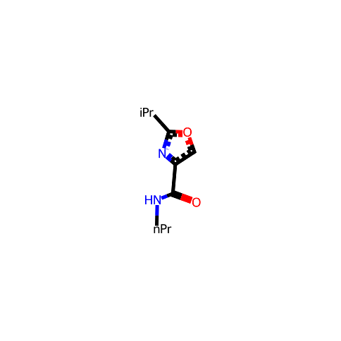 CCCNC(=O)c1coc(C(C)C)n1